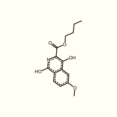 CCCCOC(=O)c1nc(O)c2ccc(OC)cc2c1O